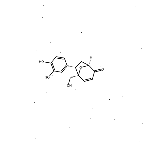 O=C1C=C[C@]2(CO)O[C@H]1C[C@H]2c1ccc(O)c(O)c1